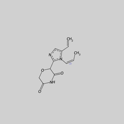 C=Cc1cnc(C2OCC(=O)NC2=O)n1/C=C\C